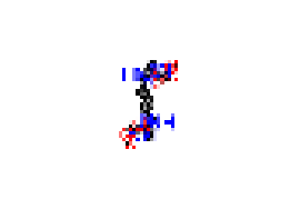 COC(=O)N[C@H](C(=O)N1C2CCC(C2)[C@H]1c1nc(-c2ccc3c(c2)Cc2cc(-c4c[nH]c([C@@H]5C6CCC(C6)N5C(=O)[C@@H](NC(=O)OC)C(C)C)n4)ccc2-3)c[nH]1)C(C)C